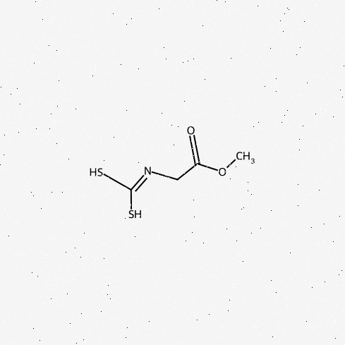 COC(=O)CN=C(S)S